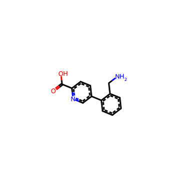 NCc1ccccc1-c1ccc(C(=O)O)nc1